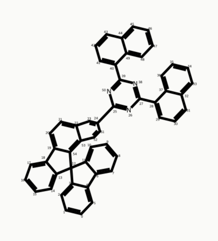 c1ccc2c(c1)-c1ccccc1C21c2ccccc2-c2ccc3cc(-c4nc(-c5cccc6ccccc56)nc(-c5cccc6ccccc56)n4)ccc3c21